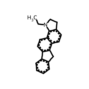 CCN1CCc2ccc3c4c(ccc3c21)-c1ccccc1C4